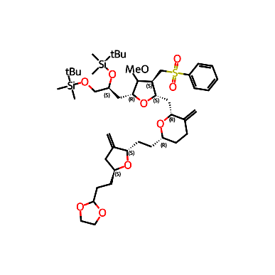 C=C1C[C@H](CCC2OCCO2)O[C@H]1CC[C@H]1CCC(=C)[C@@H](C[C@@H]2O[C@H](C[C@@H](CO[Si](C)(C)C(C)(C)C)O[Si](C)(C)C(C)(C)C)C(OC)[C@H]2CS(=O)(=O)c2ccccc2)O1